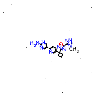 Cn1cnnc1-c1nc(C2(c3ccc(-c4cnc(N)nc4)nc3)CCC2)no1